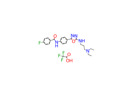 CCN(CC)CCCNc1nnc(-c2ccc(NC(=O)c3ccc(F)cc3)cc2)o1.O=C(O)C(F)(F)F